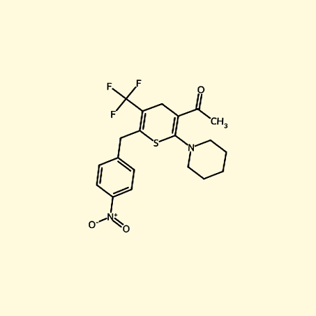 CC(=O)C1=C(N2CCCCC2)SC(Cc2ccc([N+](=O)[O-])cc2)=C(C(F)(F)F)C1